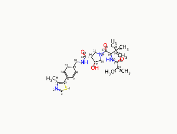 Cc1ncsc1-c1ccc(CNC(=O)[C@@H]2CN(C(=O)[C@H](NC(=O)C(C)C)C(C)(C)C)C[C@H]2O)cc1